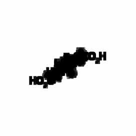 CN(C(=O)O)[C@H](C(=O)N1CCC[C@H]1c1nc2cc([C@H]3CC[C@H](c4cc5nc([C@@H]6CCCN6C(=O)[C@H](C6CCCC6)N(C)C(=O)O)[nH]c5cc4F)N3c3cc(F)c(N4CCCCC4)c(F)c3)c(F)cc2[nH]1)C1CCCC1